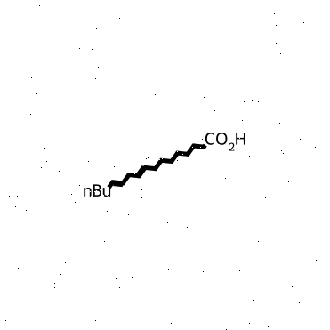 CCCCC=CCC=CCCCCCCCC(=O)O